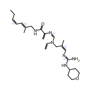 C=CN(/C=N\C(=C)C(=O)NC/C(C)=C/C=C\CC)C/C(C)=C\N=C(/N)NC1CCOCC1